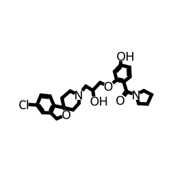 O=C(c1ccc(O)cc1OCC(O)CN1CCC2(CC1)OCc1cc(Cl)ccc12)N1CCCC1